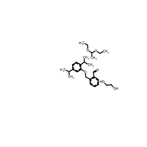 CC(C)c1ccc(C(C)C)c(OCc2ccccc2C=O)c1.CCOC(C)OCC.OCCO